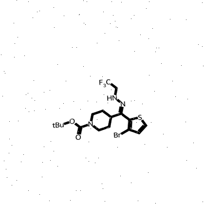 CC(C)(C)OC(=O)N1CCC(/C(=N\NCC(F)(F)F)c2sccc2Br)CC1